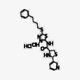 Cl.Cl.O=C(Nc1nnc(SCCCCc2ccccc2)s1)C1CSC(c2cccnc2)N1